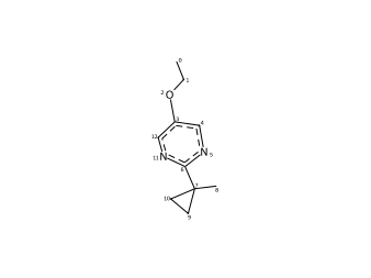 CCOc1cnc(C2(C)CC2)nc1